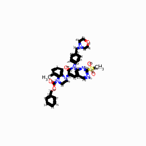 Cc1cccc2c1N(C(=O)OCc1ccccc1)CCN2c1cc2cnc(S(C)(=O)=O)nc2n(-c2ccc(CN3CCOCC3)cc2)c1=O